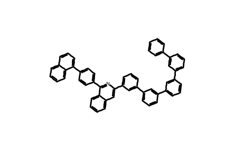 c1ccc(-c2cccc(-c3cccc(-c4cccc(-c5cccc(-c6cc7ccccc7c(-c7ccc(-c8cccc9ccccc89)cc7)n6)c5)c4)c3)c2)cc1